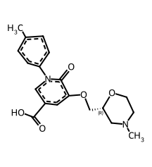 Cc1ccc(-n2cc(C(=O)O)cc(OC[C@H]3CN(C)CCO3)c2=O)cc1